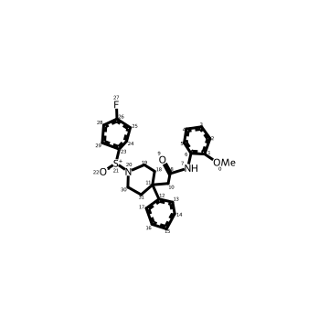 COc1ccccc1NC(=O)CC1(c2ccccc2)CCN([S+]([O-])c2ccc(F)cc2)CC1